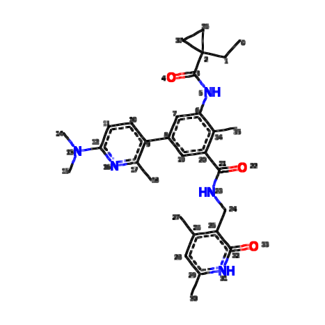 CCC1(C(=O)Nc2cc(-c3ccc(N(C)C)nc3C)cc(C(=O)NCc3c(C)cc(C)[nH]c3=O)c2C)CC1